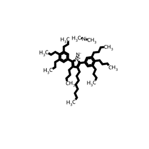 CCCCCCCCC1=C(c2cc(CCCC)c(CCCC)c(CCCC)c2)[N+](=[N-])C(c2cc(CCC)c(CCC)c(CCC)c2)=C1CCCC.[CH3][Ni][CH3]